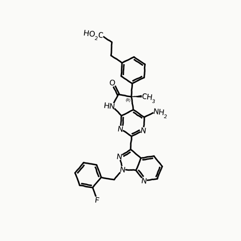 C[C@]1(c2cccc(CCC(=O)O)c2)C(=O)Nc2nc(-c3nn(Cc4ccccc4F)c4ncccc34)nc(N)c21